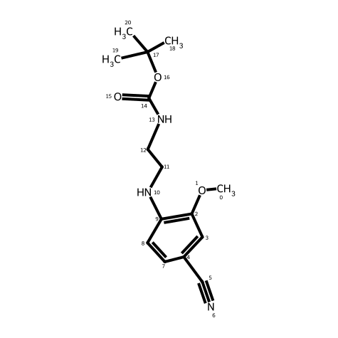 COc1cc(C#N)ccc1NCCNC(=O)OC(C)(C)C